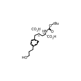 CC(C)(C)OC(=O)N[C@@H](C[C@H](Cc1ccc(CCCO)cc1)C(=O)O)C(=O)O